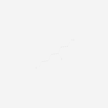 CCCCCCCC(F)CCO